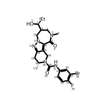 CC[C@H](O)C1CN(C)C(=O)c2c3c(nn2C1)C[C@@H](C)N(C(=O)Nc1ccc(F)c(Br)c1)C3